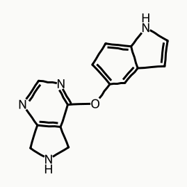 c1nc2c(c(Oc3ccc4[nH]ccc4c3)n1)CNC2